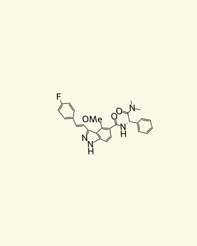 COc1c(C(=O)N[C@H](C(=O)N(C)C)c2ccccc2)ccc2[nH]nc(C=Cc3ccc(F)cc3)c12